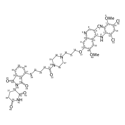 COc1cc(Nc2c(C#N)cnc3cc(OCCCN4CCN(C(=O)CCCSc5cccc6c5C(=O)N(C5CCC(=O)NC5=O)C6=O)CC4)c(OC)cc23)c(Cl)cc1Cl